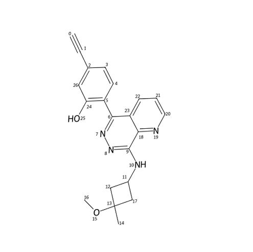 C#Cc1ccc(-c2nnc(NC3CC(C)(OC)C3)c3ncccc23)c(O)c1